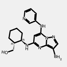 Bc1cnn2c(Nc3cccnc3)cc(N[C@@H]3CCCC[C@H]3CO)nc12